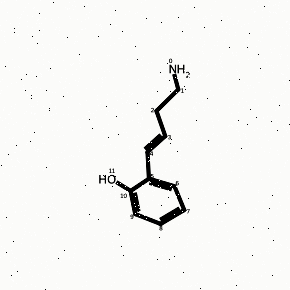 NCCC=Cc1ccccc1O